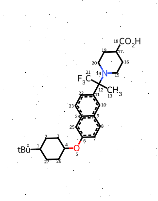 CC(C)(C)C1CCC(Oc2ccc3cc(C(C)(N4CCC(C(=O)O)CC4)C(F)(F)F)ccc3c2)CC1